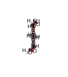 CN1Cc2c(Cl)cc(Cl)cc2[C@@H](C2CCC(S(=O)(=O)NCCOCCOCCOCCNC(=O)C(O)C(O)C(=O)NCCOCCOCCOCCNS(=O)(=O)C3CCC([C@H]4CN(C)Cc5c(Cl)cc(Cl)cc54)CC3)CC2)C1